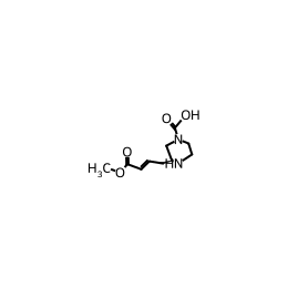 COC(=O)C=CC[C@H]1CN(C(=O)O)CCN1